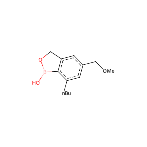 CCCCc1cc(COC)cc2c1B(O)OC2